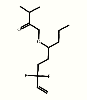 C=CC(F)(F)CCC(CCC)OCC(=O)C(C)C